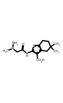 CN(N)CC(=O)Nc1sc2c(c1C(=O)O)CC(C)(C)CC2